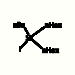 CCCCCC[Si](I)(CCCC)CCCCCC